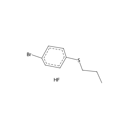 CCCSc1ccc(Br)cc1.F